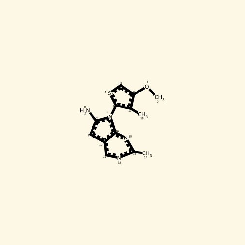 COc1csc(-n2c(N)cc3cnc(C)nc32)c1C